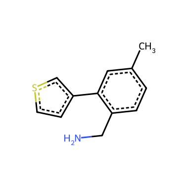 Cc1ccc(CN)c(-c2ccsc2)c1